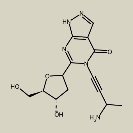 CC(N)C#Cn1c(C2C[C@H](O)[C@@H](CO)O2)nc2[nH]ncc2c1=O